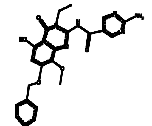 CCn1c(NC(=O)c2cnc(N)nc2)nc2c(OC)c(OCc3ccccc3)cc(O)c2c1=O